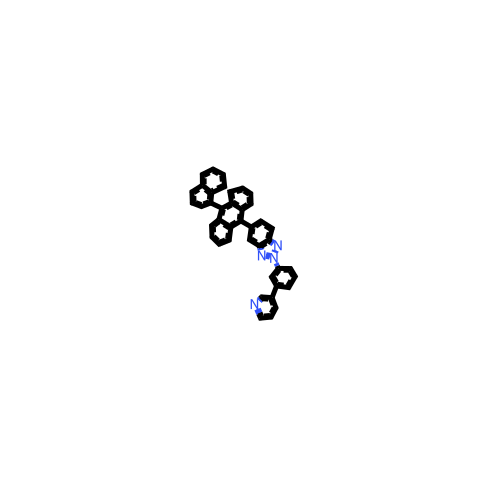 c1cncc(-c2cccc(-n3nc4ccc(-c5c6ccccc6c(-c6cccc7ccccc67)c6ccccc56)cc4n3)c2)c1